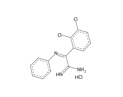 Cl.N=C(N)C(=Nc1ccccc1)c1cccc(Cl)c1Cl